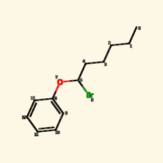 CCCCCC(Br)Oc1ccccc1